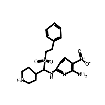 Nc1nc(NC(C2CCNCC2)S(=O)(=O)CCc2ccccc2)ccc1[N+](=O)[O-]